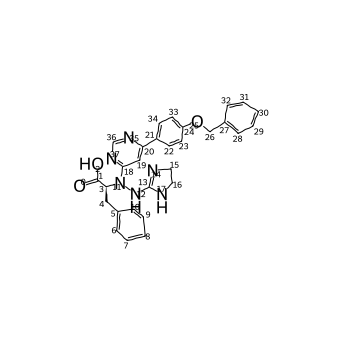 O=C(O)[C@H](Cc1ccccc1)N(NC1=NCCN1)c1cc(-c2ccc(OCc3ccccc3)cc2)ncn1